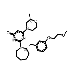 COCCOc1cccc(C[C@@H]2CCCCCN2c2nc(N3CCO[C@H](C)C3)cc(=O)[nH]2)c1